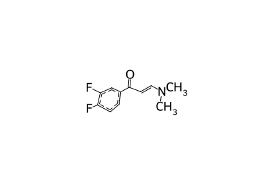 CN(C)C=CC(=O)c1ccc(F)c(F)c1